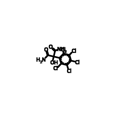 NC(=O)C(O)(C(N)=O)c1c(Cl)c(Cl)c(Cl)c(Cl)c1Cl